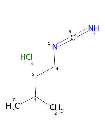 CC(C)CCN=C=N.Cl